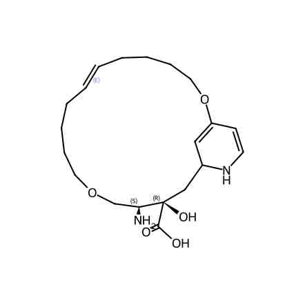 N[C@H]1COCCCC/C=C/CCCCOC2=CC(C[C@]1(O)C(=O)O)NC=C2